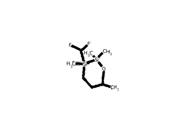 CC1CC[Si](C)(C(F)F)[Si](C)(C)O1